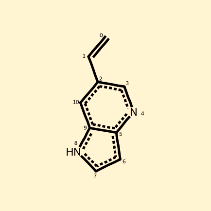 C=Cc1cnc2cc[nH]c2c1